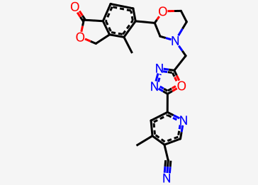 Cc1cc(-c2nnc(CN3CCOC(c4ccc5c(c4C)COC5=O)C3)o2)ncc1C#N